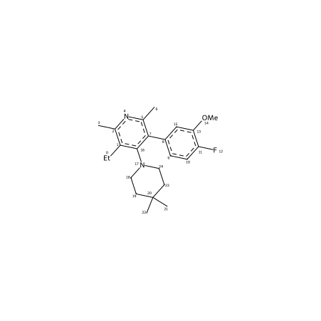 CCc1c(C)nc(C)c(-c2ccc(F)c(OC)c2)c1N1CCC(C)(C)CC1